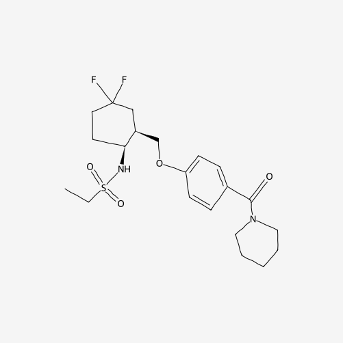 CCS(=O)(=O)N[C@H]1CCC(F)(F)C[C@H]1COc1ccc(C(=O)N2CCCCC2)cc1